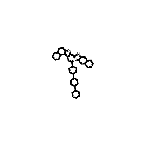 c1ccc(-c2ccc(-c3ccc(-c4cc5c(sc6ccc7ccccc7c65)c5nc6cc7ccccc7cc6n45)cc3)cc2)cc1